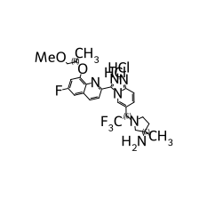 COC[C@@H](C)Oc1cc(F)cc2ccc(-c3nnc4ccc([C@H](N5CC[C@](C)(N)C5)C(F)(F)F)cn34)nc12.Cl.Cl